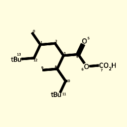 CC(CC(C(=O)OC(=O)O)C(C)CC(C)(C)C)CC(C)(C)C